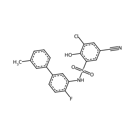 Cc1cccc(-c2ccc(F)c(NS(=O)(=O)c3cc(C#N)cc(Cl)c3O)c2)c1